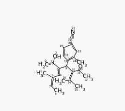 C=C(O)/C(=C\C(C)=C/C)C(C(C(C)=O)=C(C)C)c1ccc(C#N)cc1C